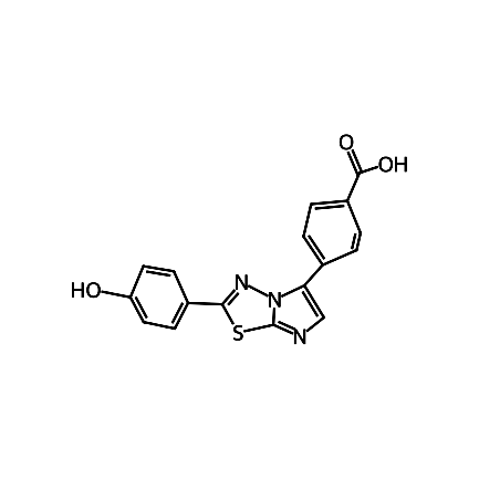 O=C(O)c1ccc(-c2cnc3sc(-c4ccc(O)cc4)nn23)cc1